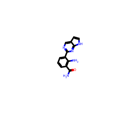 NC(=O)c1cccc(-c2ncc3cc[nH]c3n2)c1N